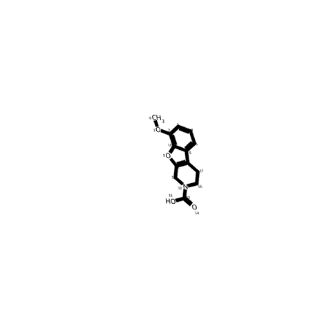 COc1cccc2c3c(oc12)CN(C(=O)O)CC3